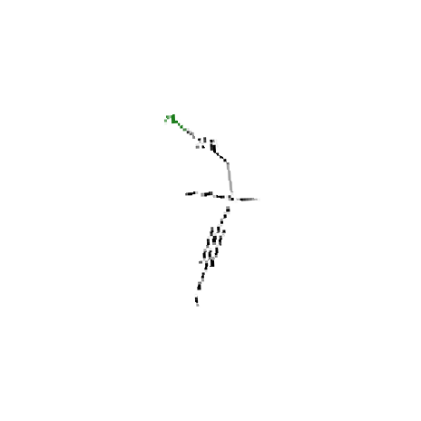 CC#C[Si](C)(C)[CH2][Mg][Cl]